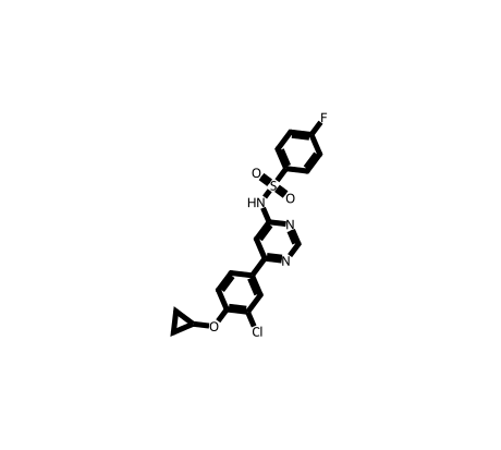 O=S(=O)(Nc1cc(-c2ccc(OC3CC3)c(Cl)c2)ncn1)c1ccc(F)cc1